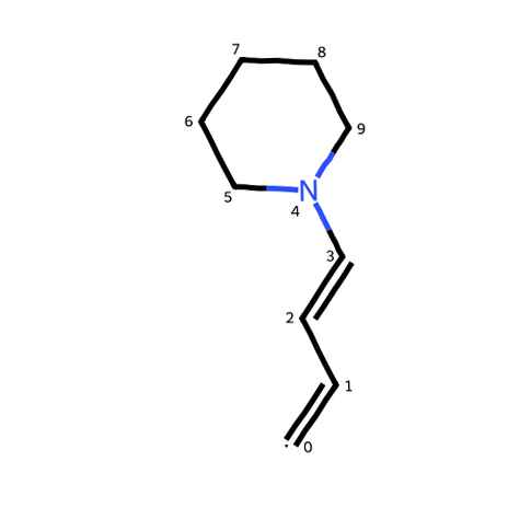 [CH]=C/C=C/N1CCCCC1